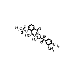 Cc1cc(S(=O)(=O)C(C)CNC(=O)c2cccc(OS(C)(=O)=O)c2C(=O)O)ccc1N